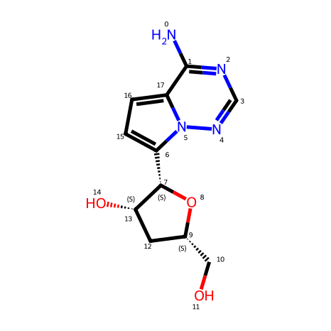 Nc1ncnn2c([C@@H]3O[C@H](CO)C[C@@H]3O)ccc12